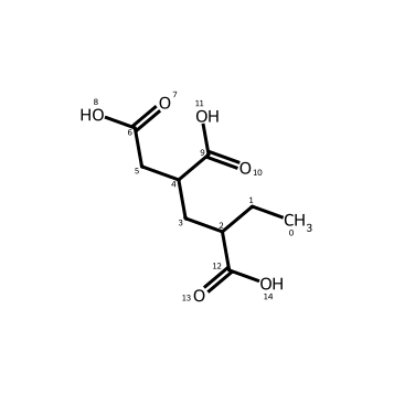 CCC(CC(CC(=O)O)C(=O)O)C(=O)O